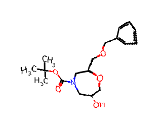 CC(C)(C)OC(=O)N1C[C@@H](O)CO[C@H](COCc2ccccc2)C1